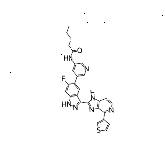 CCCCC(=O)Nc1cncc(-c2cc3c(-c4nc5c(-c6ccsc6)nccc5[nH]4)n[nH]c3cc2F)c1